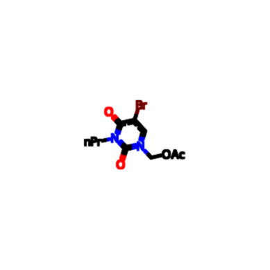 CCCn1c(=O)c(Br)cn(COC(C)=O)c1=O